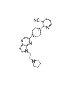 N#Cc1cccnc1N1CCN(c2ccc3ccn(CCN4CCCC4)c3n2)CC1